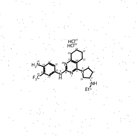 CCN[C@H]1CCN(c2nc(Nc3ccc(N)c(C(F)(F)F)c3)nc3c2CCCC3)C1.Cl.Cl